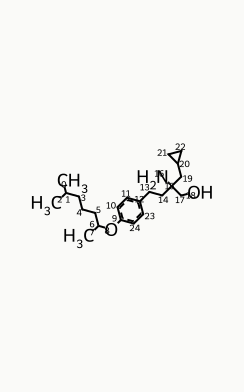 CC(C)CCCC(C)Oc1ccc(CC[C@@](N)(CO)CC2CC2)cc1